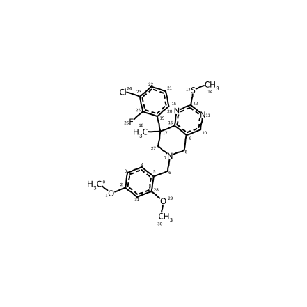 COc1ccc(CN2Cc3cnc(SC)nc3C(C)(c3cccc(Cl)c3F)C2)c(OC)c1